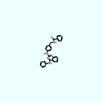 O=C(NCc1ccc(Nc2nc(Nc3ccccc3)c3ccccc3n2)cc1)c1ccccc1